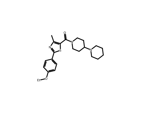 CCOc1ccc(-c2nc(C)c(C(=O)N3CCC(N4CCCCC4)CC3)s2)cc1